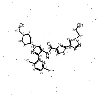 CCO[C@H]1CC[C@H](n2cc(NC(=O)c3csc(-c4cnn(CCO)c4)n3)c(-c3nc(F)ccc3F)n2)CC1